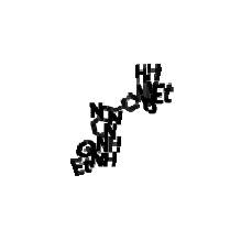 CCNC(=O)Nc1ccc(-c2cnc3ccc(NC(=O)NCC)nc3n2)cc1